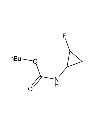 CCCCOC(=O)NC1CC1F